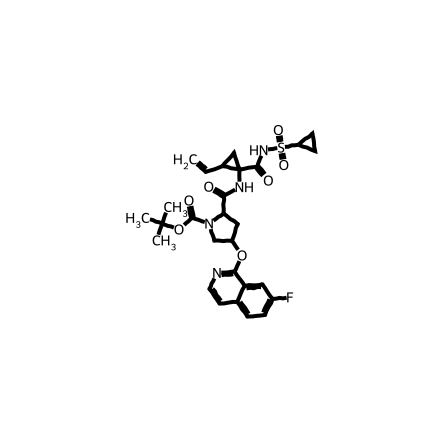 C=CC1CC1(NC(=O)C1CC(Oc2nccc3ccc(F)cc23)CN1C(=O)OC(C)(C)C)C(=O)NS(=O)(=O)C1CC1